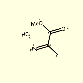 COC(=O)C(C)=N.Cl